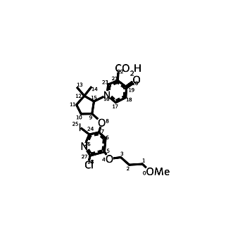 COCCCOc1cc(OC2CCC(C)(C)C2n2ccc(=O)c(C(=O)O)c2)c(I)nc1Cl